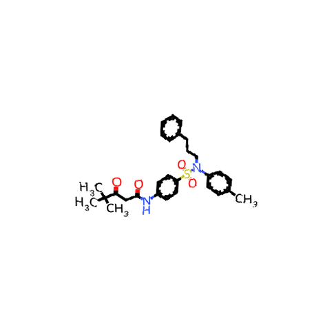 Cc1ccc(N(CCCc2ccccc2)S(=O)(=O)c2ccc(NC(=O)CC(=O)C(C)(C)C)cc2)cc1